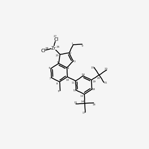 CCC1=Cc2c(ccc(C)c2-c2cc(C(C)(C)C)cc(C(C)(C)C)c2)[CH]1[Zr]([Cl])[Cl]